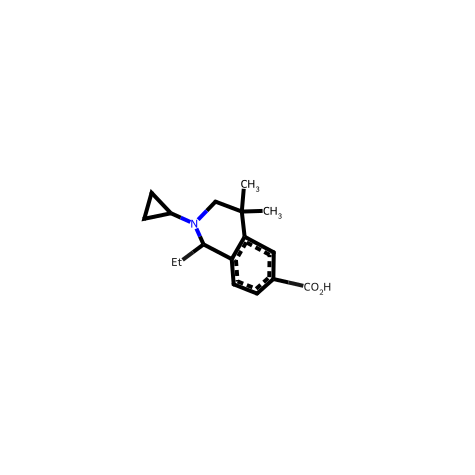 CCC1c2ccc(C(=O)O)cc2C(C)(C)CN1C1CC1